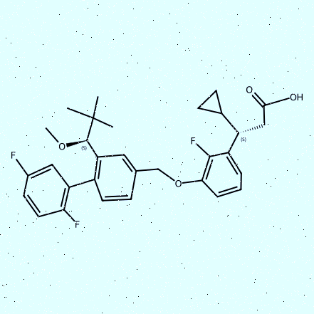 CO[C@H](c1cc(COc2cccc([C@@H](CC(=O)O)C3CC3)c2F)ccc1-c1cc(F)ccc1F)C(C)(C)C